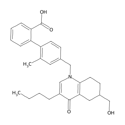 CCCCc1cn(Cc2ccc(-c3ccccc3C(=O)O)c(C)c2)c2c(c1=O)CC(CO)CC2